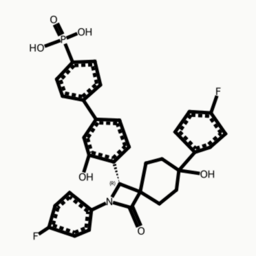 O=C1N(c2ccc(F)cc2)[C@H](c2ccc(-c3ccc(P(=O)(O)O)cc3)cc2O)C12CCC(O)(c1ccc(F)cc1)CC2